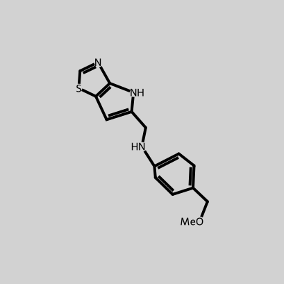 COCc1ccc(NCc2cc3scnc3[nH]2)cc1